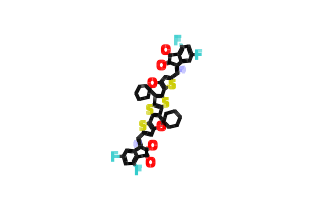 O=C1C(=O)c2c(F)cc(F)cc2/C1=C/c1cc2c(s1)-c1sc3c4c(sc3c1C1(CCCCC1)O2)-c1sc(/C=C2\C(=O)C(=O)c3c(F)cc(F)cc32)cc1OC41CCCCC1